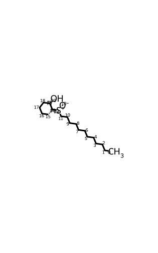 CCCCCCCCCCCC[S@@+]([O-])[C@@H]1CCCC[C@H]1O